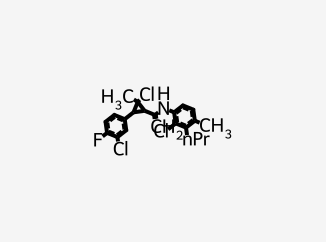 C=C(Nc1ccc(C)c(CCC)c1Cl)C1C(c2ccc(F)c(Cl)c2)C1(C)Cl